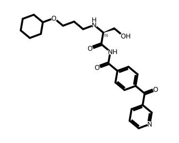 O=C(NC(=O)[C@H](CO)NCCCOC1CCCCC1)c1ccc(C(=O)c2cccnc2)cc1